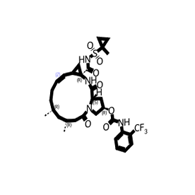 C[C@@H]1CC/C=C\C2C[C@@]2(C(=O)NS(=O)(=O)C2(C)CC2)NC(=O)[C@@H]2C[C@@H](OC(=O)Nc3ccccc3C(F)(F)F)CN2C(=O)C[C@H](C)C1